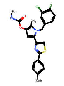 CCCCNC(=O)Oc1cc(-c2csc(-c3ccc(OC)cc3)n2)n(Cc2ccc(Cl)c(Cl)c2)c1C